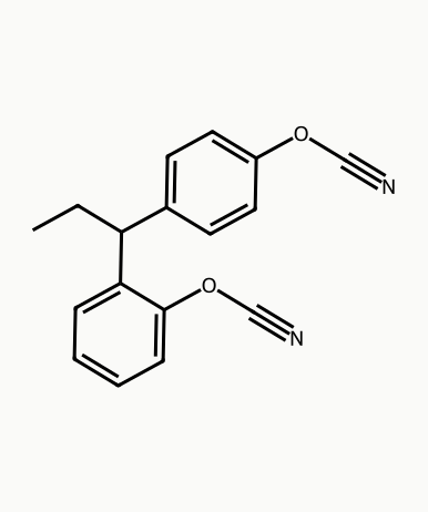 CCC(c1ccc(OC#N)cc1)c1ccccc1OC#N